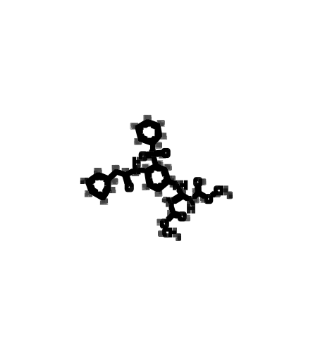 COC(=O)N=C(NC(=O)OC)Nc1ccc(NC(=O)Cc2ccccc2)c(S(=O)(=O)c2ccccc2)c1